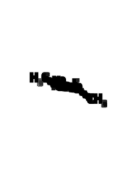 CCCCCCCCOc1ccc(-c2ccc(OC(=O)c3ncc(CCCC)cn3)cc2)cc1F